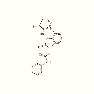 CCc1ccccc1NN1C(=O)C(CC(=O)Nc2ccccc2)c2cccc(CC)c21